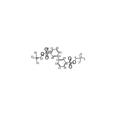 CC(C)(C)COS(=O)(=O)c1cccc(-c2cccc(S(=O)(=O)OCC(C)(C)C)c2)c1